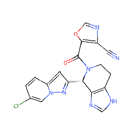 N#Cc1ncoc1C(=O)N1CCc2[nH]cnc2[C@@H]1c1cc2ccc(Cl)cn2n1